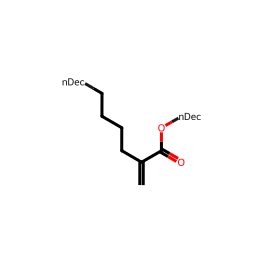 C=C(CCCCCCCCCCCCCC)C(=O)OCCCCCCCCCC